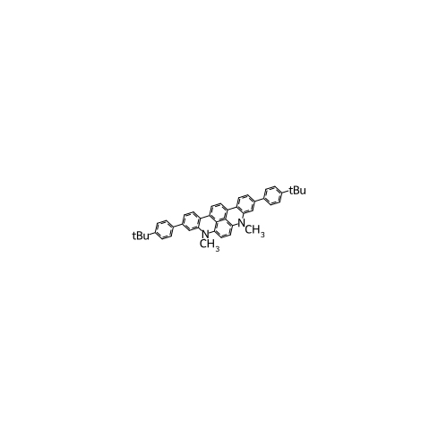 CN1c2cc(-c3ccc(C(C)(C)C)cc3)ccc2-c2ccc3c4c(ccc1c24)N(C)c1cc(-c2ccc(C(C)(C)C)cc2)ccc1-3